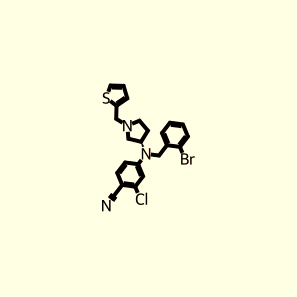 N#Cc1ccc(N(Cc2ccccc2Br)[C@H]2CCN(Cc3cccs3)C2)cc1Cl